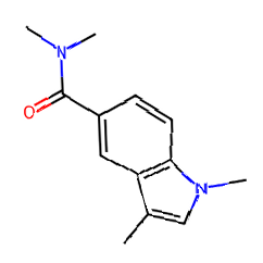 Cc1cn(C)c2ccc(C(=O)N(C)C)cc12